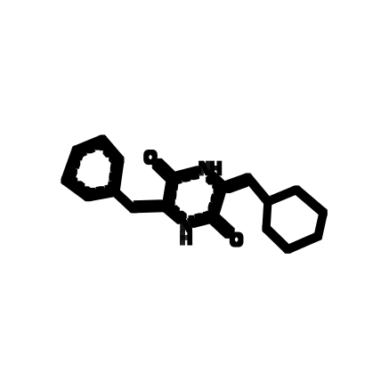 O=c1[nH]c(=CC2CCCCC2)c(=O)[nH]c1=Cc1ccccc1